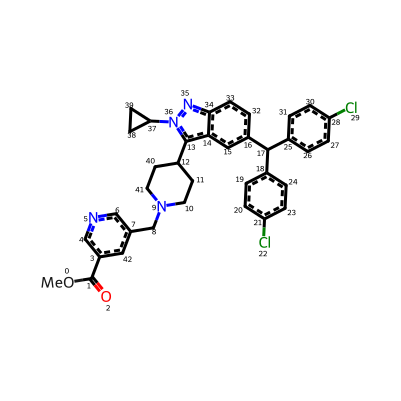 COC(=O)c1cncc(CN2CCC(c3c4cc(C(c5ccc(Cl)cc5)c5ccc(Cl)cc5)ccc4nn3C3CC3)CC2)c1